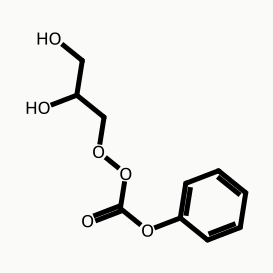 O=C(OOCC(O)CO)Oc1ccccc1